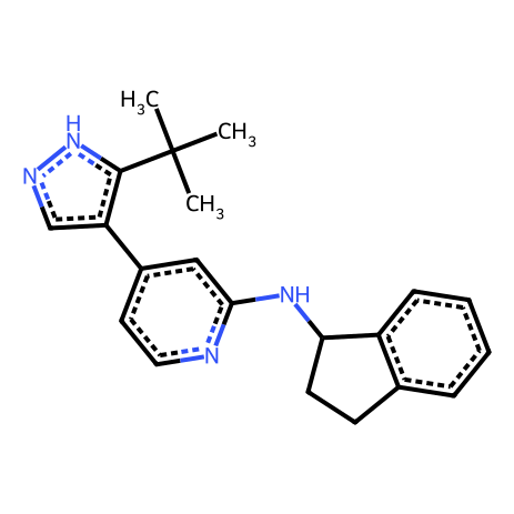 CC(C)(C)c1[nH]ncc1-c1ccnc(NC2CCc3ccccc32)c1